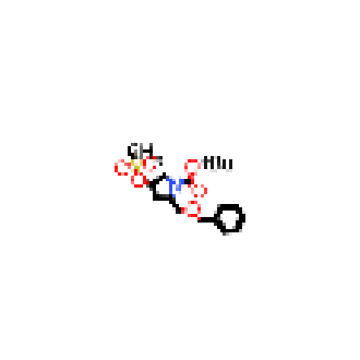 CC(C)(C)OC(=O)N1C[C@H](OS(C)(=O)=O)CC1COCc1ccccc1